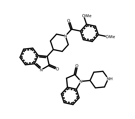 COc1ccc(C(=O)N2CCC(C3=c4ccccc4=NC3=O)CC2)c(OC)c1.O=C1Cc2ccccc2N1C1CCNCC1